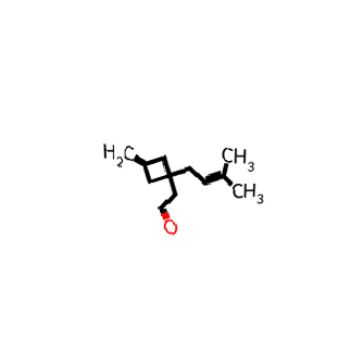 C=C1CC(CC=O)(CC=C(C)C)C1